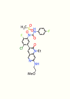 CCn1c(=O)c(-c2cc(N(OS(C)(=O)=O)C(=O)Nc3ccc(F)cc3)c(F)cc2Cl)cc2cnc(NCCOC)cc21